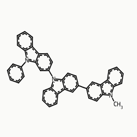 Cn1c2ccccc2c2cc(-c3ccc4c(c3)c3ccccc3n4-c3ccc4c5ccccc5n(-c5ccccc5)c4c3)ccc21